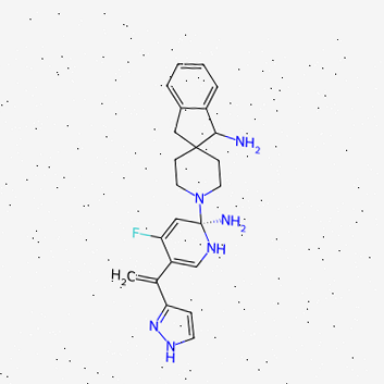 C=C(C1=CN[C@](N)(N2CCC3(CC2)Cc2ccccc2C3N)C=C1F)c1cc[nH]n1